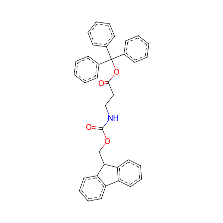 O=C(CCNC(=O)OCC1c2ccccc2-c2ccccc21)OC(c1ccccc1)(c1ccccc1)c1ccccc1